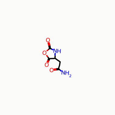 NC(=O)CC1NC(=O)OC1=O